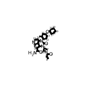 C=CC(=O)N1CC(N2C(=O)N(c3ccc(Oc4ccccc4)cc3C)c3ccnc4sc(C(N)=O)c2c34)C1